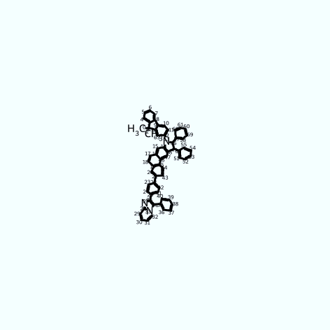 CC1(C)c2ccccc2-c2ccc(N3c4cc5ccc6cc(-c7ccc(-c8nc9ccccn9c8-c8ccccc8)cc7)ccc6c5cc4C(c4ccccc4)C3c3ccccc3)cc21